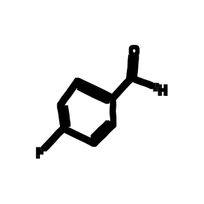 [2H]C(=O)c1ccc(F)cc1